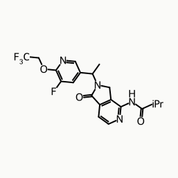 CC(C)C(=O)Nc1nccc2c1CN(C(C)c1cnc(OCC(F)(F)F)c(F)c1)C2=O